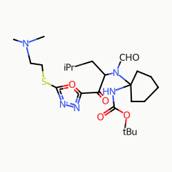 CC(C)CC(C(=O)c1nnc(SCCN(C)C)o1)N(C=O)C1(NC(=O)OC(C)(C)C)CCCCC1